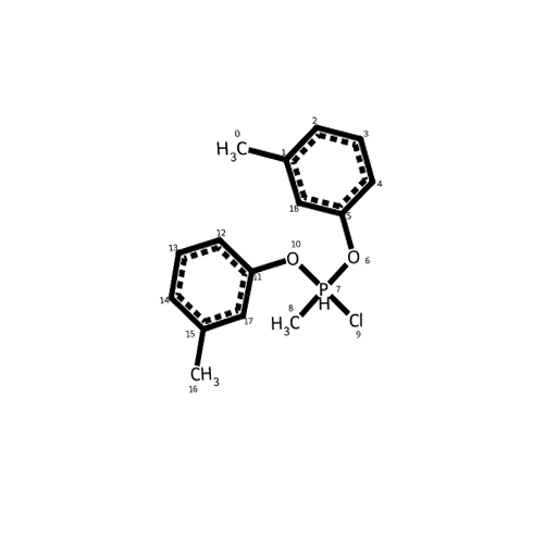 Cc1cccc(O[PH](C)(Cl)Oc2cccc(C)c2)c1